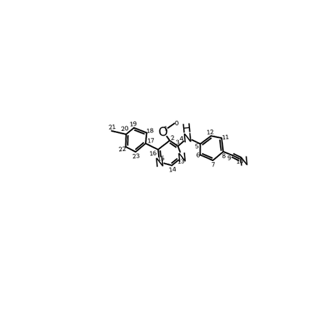 COc1c(Nc2ccc(C#N)cc2)ncnc1-c1ccc(C)cc1